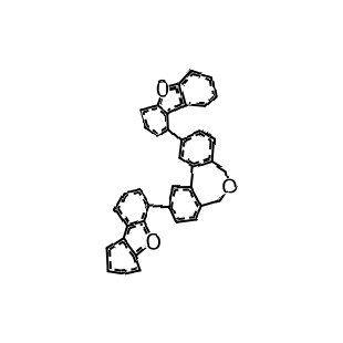 c1ccc2c(c1)oc1c(-c3ccc4c(c3)-c3cc(-c5cccc6oc7ccccc7c56)ccc3COC4)cccc12